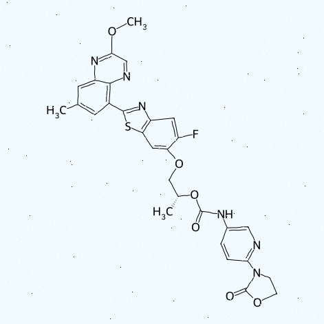 COc1cnc2c(-c3nc4cc(F)c(OC[C@@H](C)OC(=O)Nc5ccc(N6CCOC6=O)nc5)cc4s3)cc(C)cc2n1